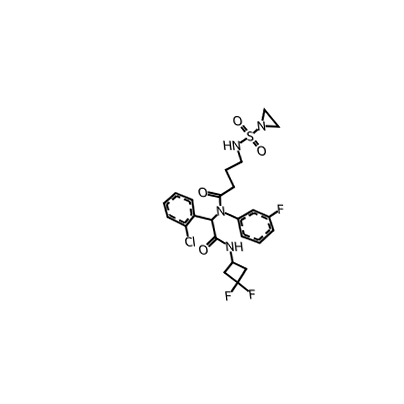 O=C(NC1CC(F)(F)C1)C(c1ccccc1Cl)N(C(=O)CCCNS(=O)(=O)N1CC1)c1cccc(F)c1